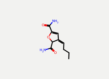 CCCC=C1C=C(C(N)=O)OC1C(N)=O